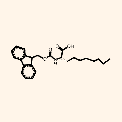 CCCCCCCC[C@H](NC(=O)OCC1c2ccccc2-c2ccccc21)C(=O)O